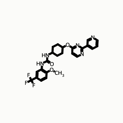 COc1ccc(C(F)(F)F)cc1NC(=O)NC1CCC(Oc2ccnc(-c3cccnc3)n2)CC1